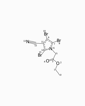 CCOC(=O)Cn1c(Br)c(Br)c(C#N)c1Br